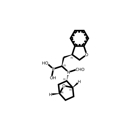 O=CN([C@H](C[C@@H]1COc2ccccc21)B(O)O)[C@H]1C[C@H]2CC[C@@H]1O2